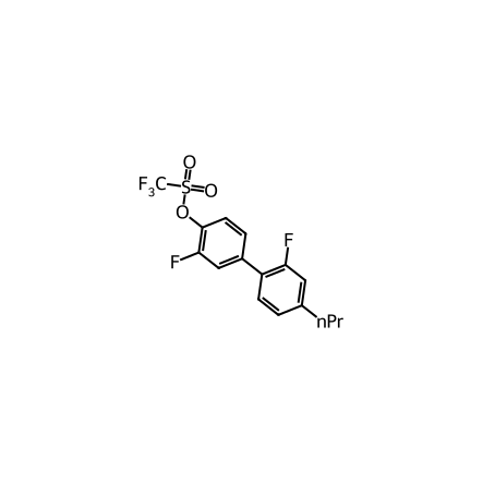 CCCc1ccc(-c2ccc(OS(=O)(=O)C(F)(F)F)c(F)c2)c(F)c1